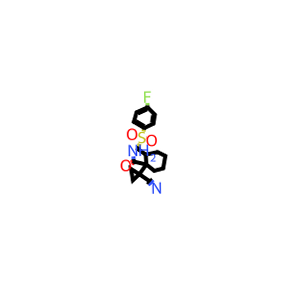 N#CC1(C2(C(N)=O)CCCCC2CS(=O)(=O)c2ccc(F)cc2)CC1